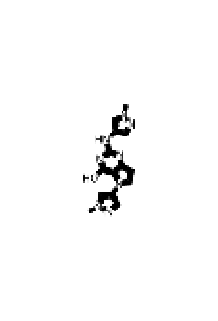 Cn1cc(Nc2nc(O)c3c(ccn3-c3cnn(C)c3)n2)cn1